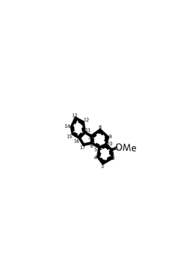 COc1cccc2c3c(ccc12)-c1ccccc1C3